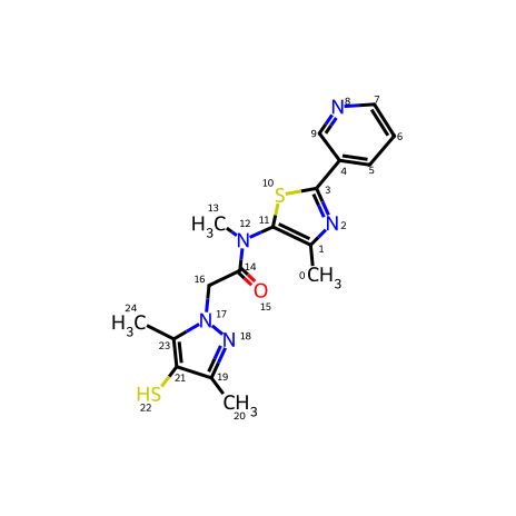 Cc1nc(-c2cccnc2)sc1N(C)C(=O)Cn1nc(C)c(S)c1C